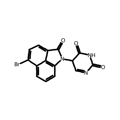 O=C1N=CC(N2C(=O)c3ccc(Br)c4cccc2c34)C(=O)N1